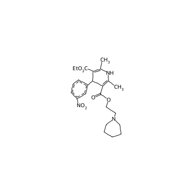 CCOC(=O)C1=C(C)NC(C)=C(C(=O)OCCN2CCCCC2)C1c1cccc([N+](=O)[O-])c1